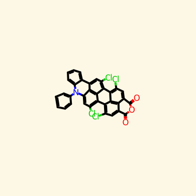 O=c1oc(=O)c2cc(Cl)c3c4c(Cl)cc5c6c(cc(Cl)c(c7c(Cl)cc1c2c73)c46)c1ccccc1n5-c1ccccc1